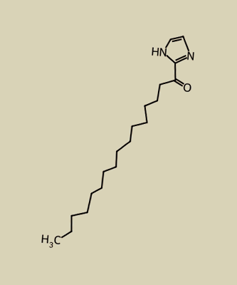 CCCCCCCCCCCCCCCC(=O)c1ncc[nH]1